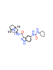 CN1[C@@H]2CC[C@H]1C[C@@H](NC(=O)c1n[nH]c3ccc(NC(=O)NC4CCCC4)cc13)C2